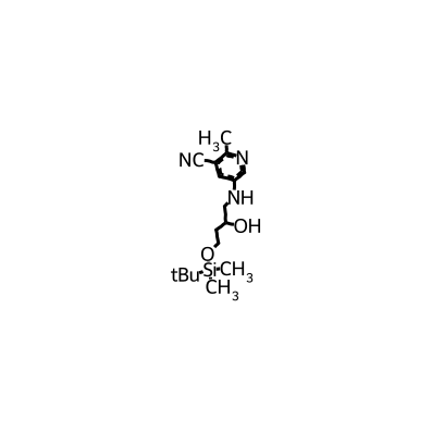 Cc1ncc(NCC(O)CCO[Si](C)(C)C(C)(C)C)cc1C#N